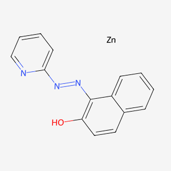 Oc1ccc2ccccc2c1N=Nc1ccccn1.[Zn]